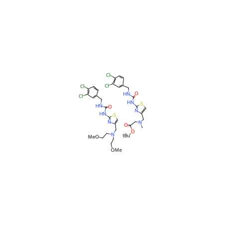 CN(CC(=O)OC(C)(C)C)Cc1csc(NC(=O)NCc2ccc(Cl)c(Cl)c2)n1.COCCN(CCOC)Cc1csc(NC(=O)NCc2ccc(Cl)c(Cl)c2)n1